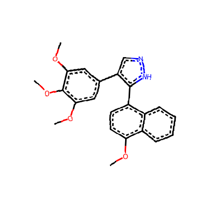 COc1cc(-c2cn[nH]c2-c2ccc(OC)c3ccccc23)cc(OC)c1OC